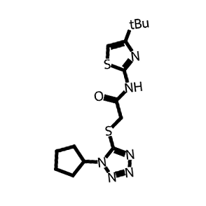 CC(C)(C)c1csc(NC(=O)CSc2nnnn2C2CCCC2)n1